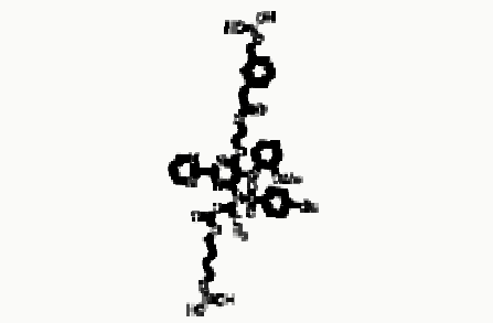 COc1ccccc1Oc1c(OCCOC(=O)Cc2cccc(CON(O)O)c2)nc(-c2ncccn2)nc1N(C(C)OC(=O)OCCCCON(O)O)S(=O)(=O)c1ccc(C(C)(C)C)cc1